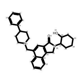 O=C1c2cc(CN3CCC(c4ccccc4)CC3)c3ccccc3c2CN1C1CCCCC1O